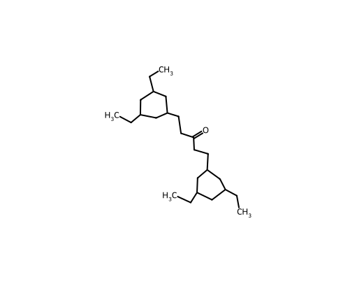 CCC1CC(CC)CC(CCC(=O)CCC2CC(CC)CC(CC)C2)C1